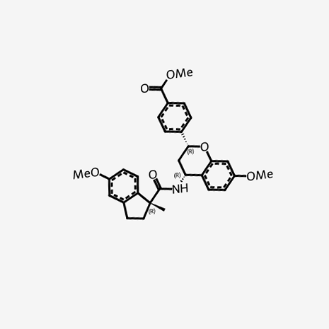 COC(=O)c1ccc([C@H]2C[C@@H](NC(=O)[C@]3(C)CCc4cc(OC)ccc43)c3ccc(OC)cc3O2)cc1